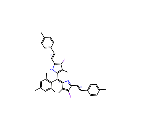 CC1=C(I)C(/C=C/c2ccc(C)cc2)=NC/1=C(\c1[nH]c(/C=C/c2ccc(C)cc2)c(I)c1C)c1c(C)cc(C)cc1C